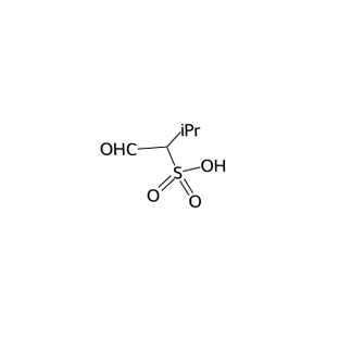 CC(C)C(C=O)S(=O)(=O)O